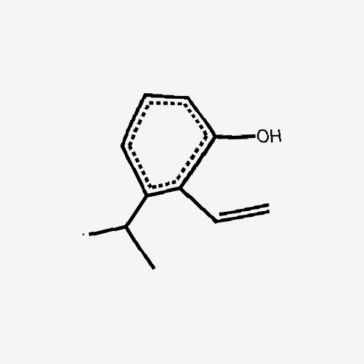 [CH2]C(C)c1cccc(O)c1C=C